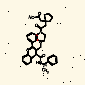 C[C@H](NC(=O)c1c(CN2CCN(C(=O)CC3(CC(=O)O)CCCC3)CC2)c(-c2ccccc2)nc2ccccc12)c1ccccc1